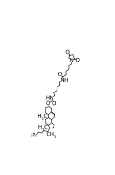 CC(C)CCC[C@@H](C)[C@H]1CCC2C3CC=C4C[C@@H](OC(=O)NCCCCCCNC(=O)CCCCCN5CC(=O)CC5=O)CC[C@]4(C)C3CC[C@@]21C